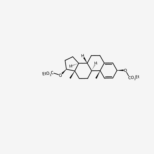 CCOC(=O)O[C@H]1C=C[C@@]2(C)C(=C1)CC[C@H]1[C@@H]3CC[C@H](OC(=O)OCC)[C@@]3(C)CC[C@@H]12